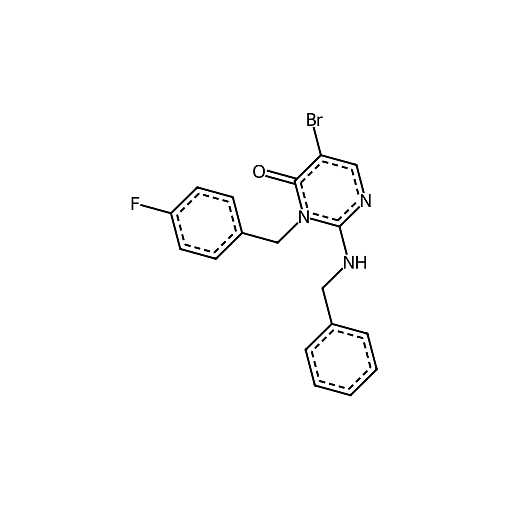 O=c1c(Br)cnc(NCc2ccccc2)n1Cc1ccc(F)cc1